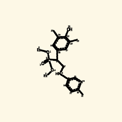 CCOP(=O)(OCC)C(CNc1ccc(C)nc1)c1cc(C)c(O)c(C)c1